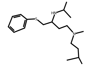 CC(C)CCN(C)CCC(CSc1ccccc1)NC(C)C